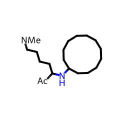 CNCCCCC(NC1CCCCCCCCCCC1)C(C)=O